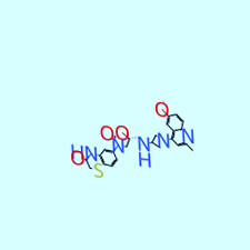 COc1ccc2nc(C)cc(N3CC(NC[C@@H]4CN(c5ccc6c(c5)NC(=O)CS6)C(=O)O4)C3)c2c1